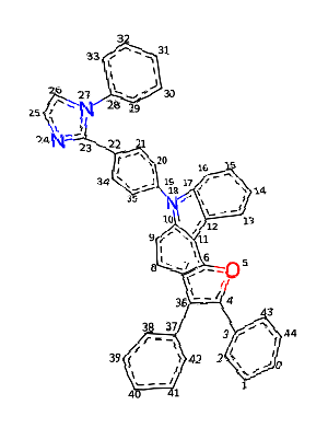 c1ccc(-c2oc3c(ccc4c3c3ccccc3n4-c3ccc(-c4nccn4-c4ccccc4)cc3)c2-c2ccccc2)cc1